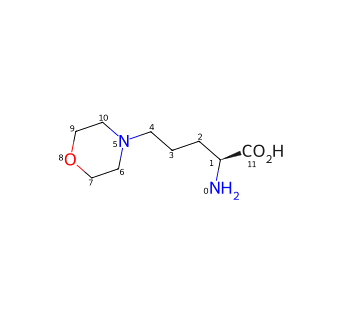 N[C@@H](CCCN1CCOCC1)C(=O)O